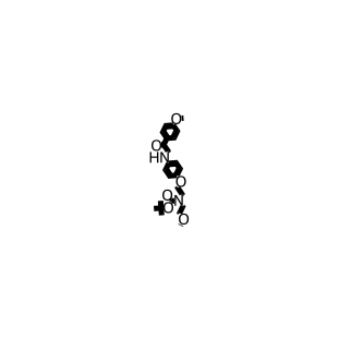 COCCN(CCOc1ccc(NCC(=O)c2ccc(OC)cc2)cc1)C(=O)OC(C)(C)C